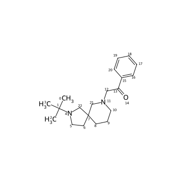 CC(C)(C)N1CCC2(CCCN(CC(=O)c3ccccc3)C2)C1